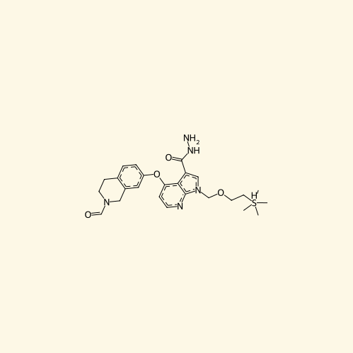 C[SH](C)(C)(C)CCOCn1cc(C(=O)NN)c2c(Oc3ccc4c(c3)CN(C=O)CC4)ccnc21